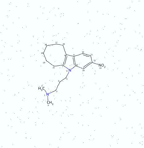 CN(C)CCCn1c2c(c3ccc([N+](=O)[O-])cc31)CCCCCC2